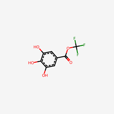 O=C(OC(F)(F)F)c1cc(O)c(O)c(O)c1